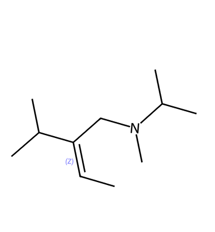 C/C=C(\CN(C)C(C)C)C(C)C